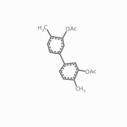 CC(=O)Oc1cc(-c2ccc(C)c(OC(C)=O)c2)ccc1C